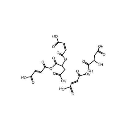 O=C(O)/C=C/C(=O)O.O=C(O)/C=C\C(=O)OC(CC(=O)O)C(=O)OC(=O)/C=C/C(=O)O.O=C(O)CC(O)C(=O)O